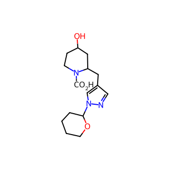 O=C(O)N1CCC(O)CC1Cc1cnn(C2CCCCO2)c1